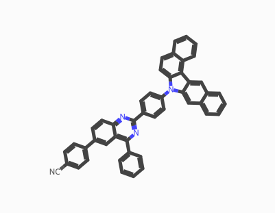 N#Cc1ccc(-c2ccc3nc(-c4ccc(-n5c6cc7ccccc7cc6c6c7ccccc7ccc65)cc4)nc(-c4ccccc4)c3c2)cc1